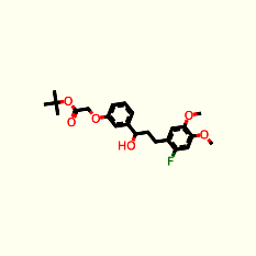 COc1cc(F)c(CCC(O)c2cccc(OCC(=O)OC(C)(C)C)c2)cc1OC